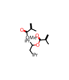 C=C(C)C(=O)OC.C=C(C)C(=O)OC(CC(C)C)C(C)C